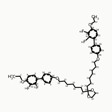 CCOc1ccc(-c2ccc(OCCCCCCCC3(CCCCCCCOc4ccc(-c5ccc(OCC)c(F)c5F)cc4)OCCO3)cc2)c(F)c1F